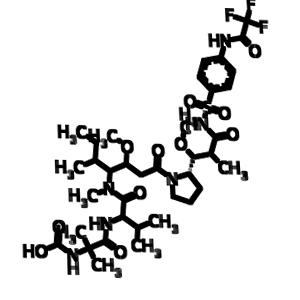 CCC(C)C(C(CC(=O)N1CCC[C@H]1C(OC)C(C)C(=O)NS(=O)(=O)c1ccc(NC(=O)C(F)(F)F)cc1)OC)N(C)C(=O)C(NC(=O)C(C)(C)NC(=O)O)C(C)C